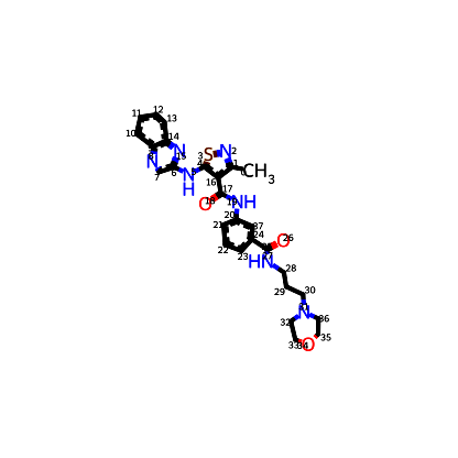 Cc1nsc(Nc2cnc3ccccc3n2)c1C(=O)Nc1cccc(C(=O)NCCCN2CCOCC2)c1